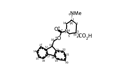 CN[C@@H]1C[C@H](C(=O)O)CN(C(=O)OCC2c3ccccc3-c3ccccc32)C1